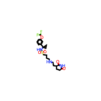 O=C1CCC(CCNCCCCS(=O)(=O)NC2(c3cccc(OC(F)F)c3)CC2)C(=O)N1